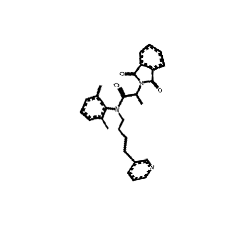 Cc1cccc(C)c1N(CCCCc1cccnc1)C(=O)C(C)N1C(=O)c2ccccc2C1=O